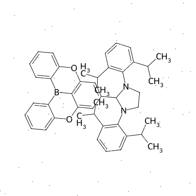 CC(C)c1cccc(C(C)C)c1N1CCN(c2c(C(C)C)cccc2C(C)C)C1c1cc2c3c(c1)Oc1ccccc1B3c1ccccc1O2